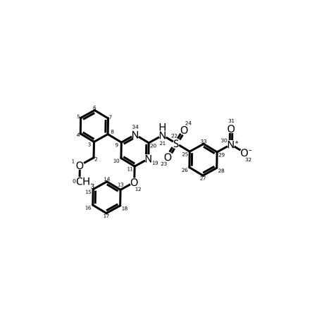 COCc1ccccc1-c1cc(Oc2ccccc2)nc(NS(=O)(=O)c2cccc([N+](=O)[O-])c2)n1